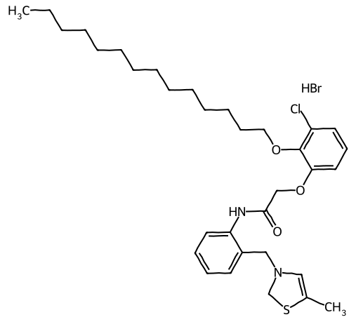 Br.CCCCCCCCCCCCCCOc1c(Cl)cccc1OCC(=O)Nc1ccccc1CN1C=C(C)SC1